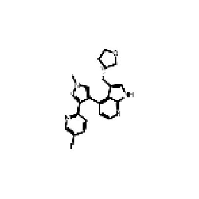 Cn1cc(-c2ccnc3[nH]cc(C[C@@H]4CCOC4)c23)c(-c2ccc(F)cn2)n1